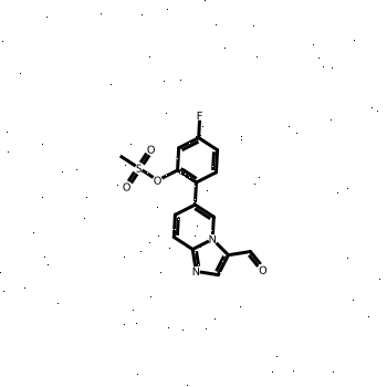 CS(=O)(=O)Oc1cc(F)ccc1-c1ccc2ncc(C=O)n2c1